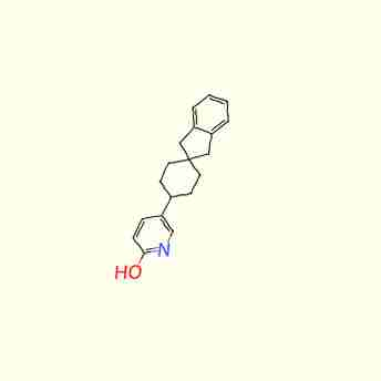 Oc1ccc(C2CCC3(CC2)Cc2ccccc2C3)cn1